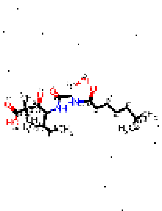 CCC(C)[C@H](NC(=O)[C@H](CO)NC(=O)CCCCC(C)C)C(=O)C(C)(C)C(=O)O